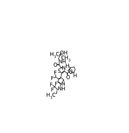 CC[C@H](Nc1cc(C(F)F)c(-c2sc(C(=O)NCC(C)(C)O)nc2C(=O)N2[C@H]3CC[C@@H]2CC3)cn1)C(F)(F)F